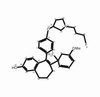 COC1=CC=CC(C)(C2=C(c3ccc(OC4CCN(CCCF)C4)cc3)c3ccc(O)cc3CCC2)C1